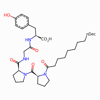 CCCCCCCCCCCCCCCCCC(=O)N1CCC[C@H]1C(=O)N1CCC[C@H]1C(=O)NCC(=O)N[C@@H](Cc1ccc(O)cc1)C(=O)O